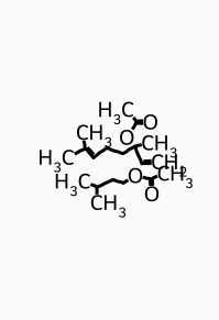 C=CC(C)(CCC=C(C)C)OC(C)=O.CC(=O)OCCC(C)C